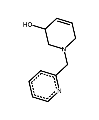 OC1C=CCN(Cc2ccccn2)C1